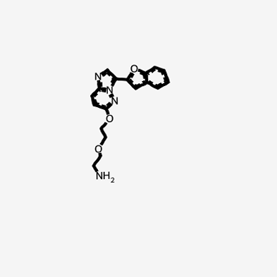 NCCOCCOc1ccc2ncc(-c3cc4ccccc4o3)n2n1